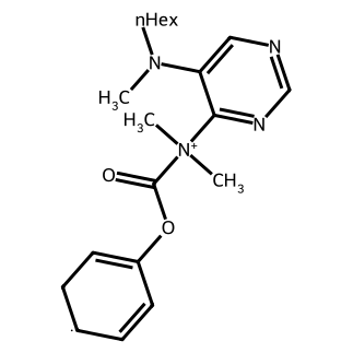 CCCCCCN(C)c1cncnc1[N+](C)(C)C(=O)OC1=CC[CH]C=C1